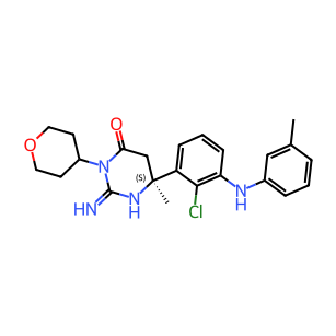 Cc1cccc(Nc2cccc([C@]3(C)CC(=O)N(C4CCOCC4)C(=N)N3)c2Cl)c1